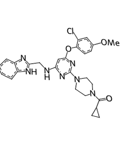 COc1ccc(Oc2cc(NCc3nc4ccccc4[nH]3)nc(N3CCN(C(=O)C4CC4)CC3)n2)c(Cl)c1